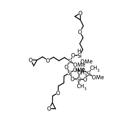 CO[SiH](CCCOCC1CO1)O[Si](CCCOCC1CO1)(OC)O[Si](CCCOCC1CO1)(OC)O[Si](C)(C)O[Si](C)(C)OC